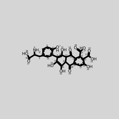 NC(Cc1ccc(O)c(C2=C(O)C3C(=O)c4c(cc(O)c(C(=O)O)c4C(=O)O)C(=O)C3C(O)=C2O)c1)C(=O)O